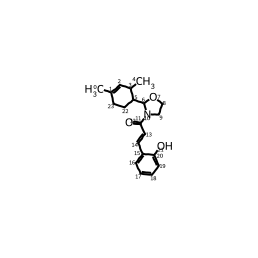 CC1=CC(C)C(C2OCCN2C(=O)/C=C/c2ccccc2O)CC1